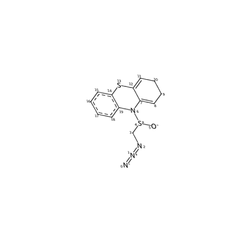 [N-]=[N+]=NC[S+]([O-])N1C2=CCCC=C2Sc2ccccc21